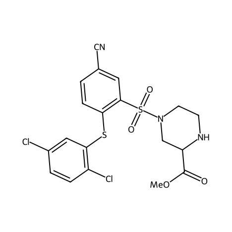 COC(=O)C1CN(S(=O)(=O)c2cc(C#N)ccc2Sc2cc(Cl)ccc2Cl)CCN1